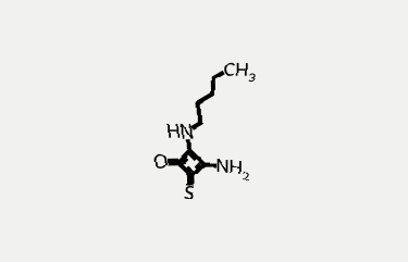 CCCCCNc1c(N)c(=S)c1=O